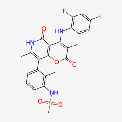 Cc1[nH]c(=O)c2c(Nc3ccc(I)cc3F)c(C)c(=O)oc2c1-c1cccc(NS(C)(=O)=O)c1C